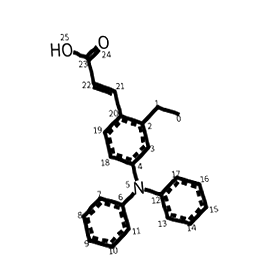 CCc1cc(N(c2ccccc2)c2ccccc2)ccc1/C=C/C(=O)O